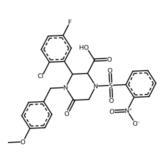 COc1ccc(CN2C(=O)CN(S(=O)(=O)c3ccccc3[N+](=O)[O-])C(C(=O)O)C2c2cc(F)ccc2Cl)cc1